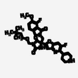 COc1ccc2c(c1F)C(=O)N(CC1(c3cc4nc(C5=CCNCC5)c(F)cc4o3)NC(=O)N(COCC[Si](C)(C)C)C1=O)C2